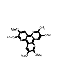 COc1cc2c(nc1C)c1cc(OC)c(OC)nc1c1cc(OC)c(OC)nc21